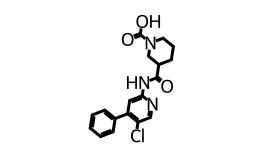 O=C(Nc1cc(-c2ccccc2)c(Cl)cn1)C1CCCN(C(=O)O)C1